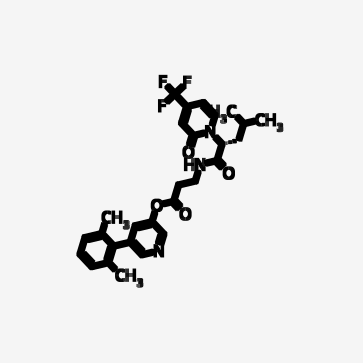 Cc1cccc(C)c1-c1cncc(OC(=O)CCNC(=O)[C@@H](CC(C)C)n2ccc(C(F)(F)F)cc2=O)c1